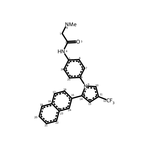 CNCC(=O)Nc1ccc(-n2cc(C(F)(F)F)cc2-c2ccc3ccccc3c2)cc1